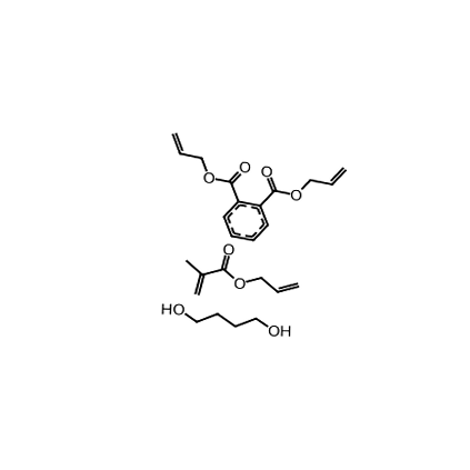 C=CCOC(=O)C(=C)C.C=CCOC(=O)c1ccccc1C(=O)OCC=C.OCCCCO